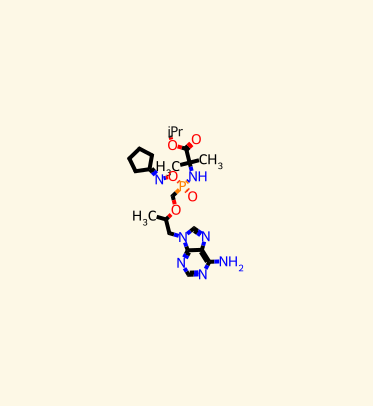 CC(C)OC(=O)C(C)(C)NP(=O)(COC(C)Cn1cnc2c(N)ncnc21)ON=C1CCCC1